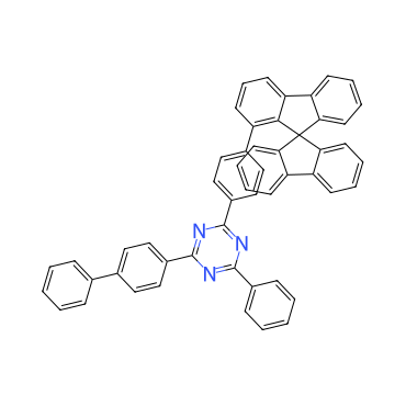 c1ccc(-c2ccc(-c3nc(-c4ccccc4)nc(-c4ccc(-c5cccc6c5C5(c7ccccc7-c7ccccc75)c5ccccc5-6)cc4)n3)cc2)cc1